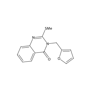 [CH2]Sc1nc2ccccc2c(=O)n1Cc1ccco1